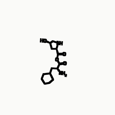 N[C@@H](CC1CCCCC1)C(=O)OC(=O)[C@H]1C[C@@H](O)CN1